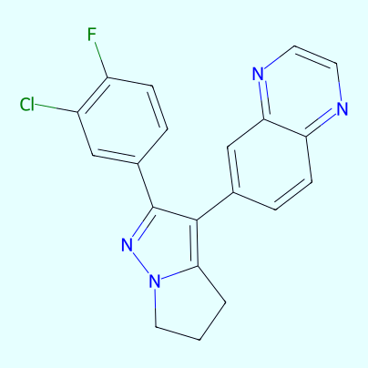 Fc1ccc(-c2nn3c(c2-c2ccc4nccnc4c2)CCC3)cc1Cl